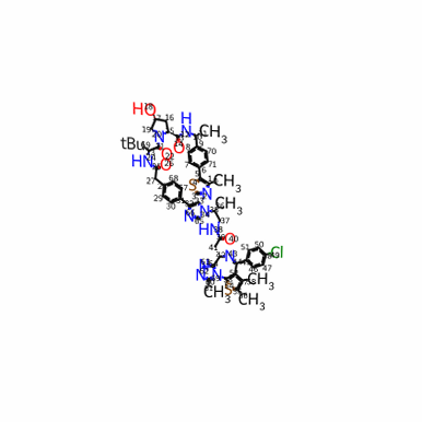 Cc1ncsc1-c1ccc([C@H](C)NC(=O)[C@@H]2C[C@@H](O)CN2C(=O)C(NC(=O)Cc2ccc(-c3cn([C@@H](C)CNC(=O)C[C@@H]4N=C(c5ccc(Cl)cc5)c5c(sc(C)c5C)-n5c(C)nnc54)cn3)cc2)C(C)(C)C)cc1